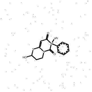 CCC[N+]1(c2ccccc2)C(=O)C=C2SC(O)CCN2C1=O